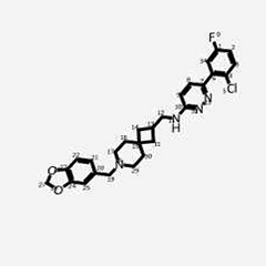 Fc1ccc(Cl)c(-c2ccc(NCC3CC4(CCN(Cc5ccc6c(c5)OCO6)CC4)C3)nn2)c1